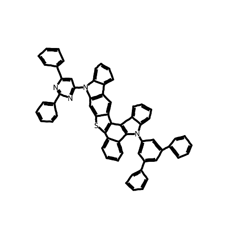 c1ccc(-c2cc(-c3ccccc3)cc(-n3c4ccccc4c4c5c6cc7c8ccccc8n(-c8cc(-c9ccccc9)nc(-c9ccccc9)n8)c7cc6sc5c5ccccc5c43)c2)cc1